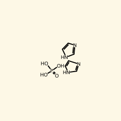 O=P(O)(O)O.c1c[nH]cn1.c1c[nH]cn1